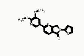 COc1cc(-c2ccc3c(n2)CN(c2cccs2)C3=O)cnc1OC